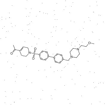 COCCN1CCN(Cc2ccc(-c3ccc(S(=O)(=O)N4CC=C(C(C)=O)CC4)cc3)cc2)CC1